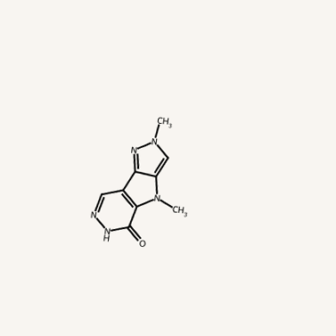 Cn1cc2c(n1)c1cn[nH]c(=O)c1n2C